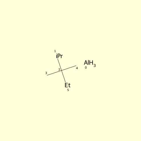 [AlH3].[CH2]C(C)C(C)(C)CC